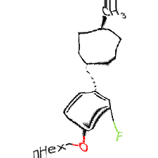 CCCCCCOc1ccc([C@H]2CC[C@H](C)CC2)cc1F